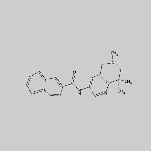 CN1Cc2cc(NC(=O)c3ccc4ccccc4c3)cnc2C(C)(C)C1